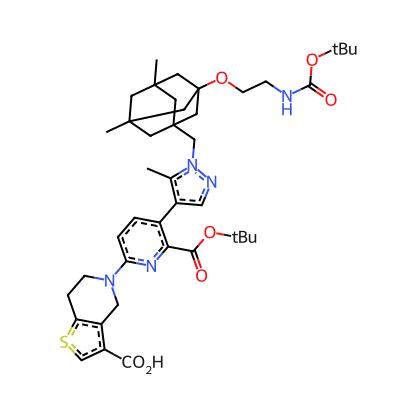 Cc1c(-c2ccc(N3CCc4scc(C(=O)O)c4C3)nc2C(=O)OC(C)(C)C)cnn1CC12CC3(C)CC(C)(C1)CC(OCCNC(=O)OC(C)(C)C)(C3)C2